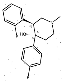 CN1CC[C@@](O)(c2ccc(F)cc2)[C@@H](c2ccccc2F)C1